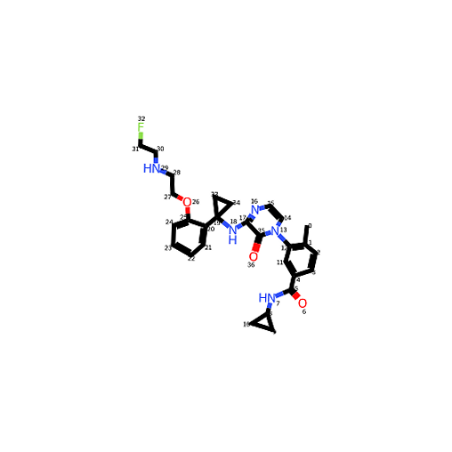 Cc1ccc(C(=O)NC2CC2)cc1-n1ccnc(NC2(c3ccccc3OCCNCCF)CC2)c1=O